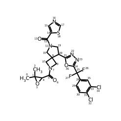 CC1(C)OC1C(=O)N1CC2(CN(C(=O)c3cncs3)CC2c2nnc(C(F)(F)c3ccc(Cl)c(Cl)c3)o2)C1